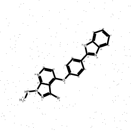 CPn1nc(Br)c2c(Oc3ccc(-c4nc5ccccc5o4)cc3)ccnc21